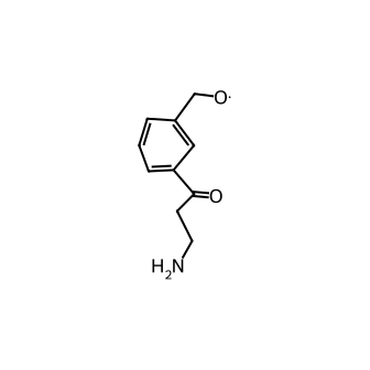 NCCC(=O)c1cccc(C[O])c1